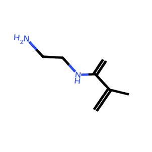 C=C(C)C(=C)NCCN